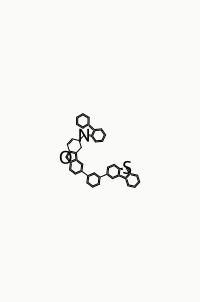 C1=CC(n2c3ccccc3c3ccccc32)Cc2c1oc1ccc(-c3cccc(-c4ccc5sc6ccccc6c5c4)c3)cc21